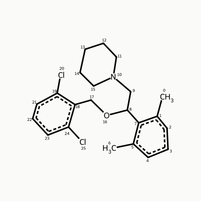 Cc1cccc(C)c1C(CN1CCCCC1)OCc1c(Cl)cccc1Cl